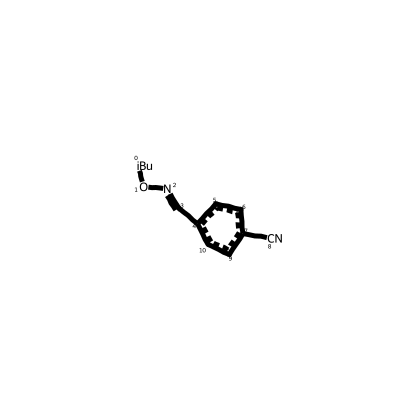 CCC(C)O/N=[C]/c1ccc(C#N)cc1